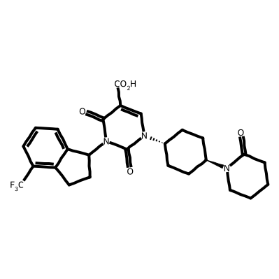 O=C(O)c1cn([C@H]2CC[C@H](N3CCCCC3=O)CC2)c(=O)n(C2CCc3c2cccc3C(F)(F)F)c1=O